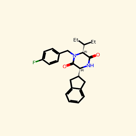 CCC(CC)[C@@H]1C(=O)N[C@H](C2Cc3ccccc3C2)C(=O)N1Cc1ccc(F)cc1